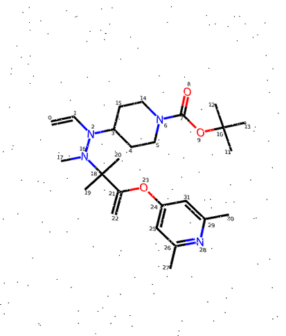 C=CN(C1CCN(C(=O)OC(C)(C)C)CC1)N(C)C(C)(C)C(=C)Oc1cc(C)nc(C)c1